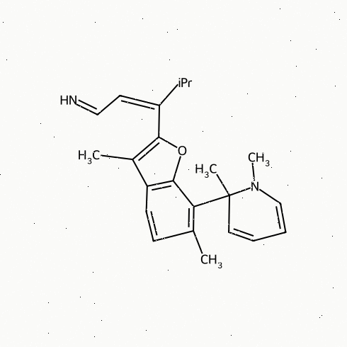 Cc1ccc2c(C)c(/C(=C\C=N)C(C)C)oc2c1C1(C)C=CC=CN1C